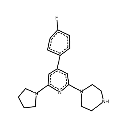 Fc1ccc(-c2cc(N3CCCC3)nc(N3CCNCC3)c2)cc1